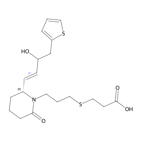 O=C(O)CCSCCCN1C(=O)CCC[C@@H]1/C=C/C(O)Cc1cccs1